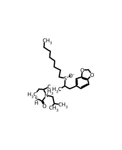 CCC(C)N(CC(C)C)C(=O)S.CCCCCCCC[S+]([O-])C(C)Cc1ccc2c(c1)OCO2